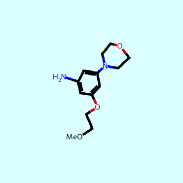 COCCOc1cc(N)cc(N2CCOCC2)c1